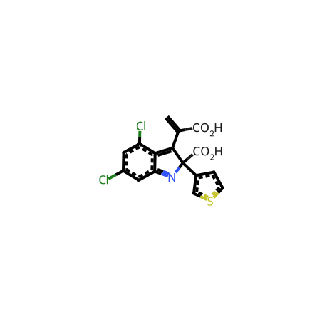 C=C(C(=O)O)C1=c2c(Cl)cc(Cl)cc2=NC1(C(=O)O)c1ccsc1